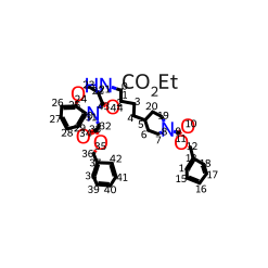 CCOC(=O)[C@H](CCCC1CCN(C(=O)OCc2ccccc2)CC1)NC1COc2ccccc2N(CC(=O)OCc2ccccc2)C1=O